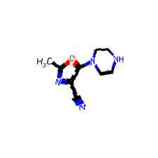 Cc1nc(C#N)c(N2CCNCC2)o1